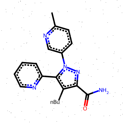 CCCCc1c(C(N)=O)nn(-c2ccc(C)nc2)c1-c1ccccn1